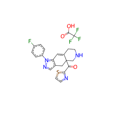 O=C(O)C(F)(F)F.O=C(c1nccs1)C12CNCCC1=Cc1c(cnn1-c1ccc(F)cc1)C2